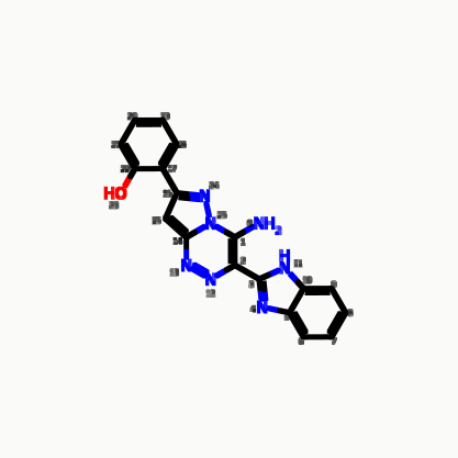 Nc1c(-c2nc3ccccc3[nH]2)nnc2cc(-c3ccccc3O)nn12